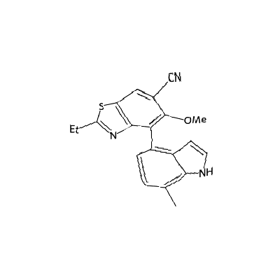 CCc1nc2c(-c3ccc(C)c4[nH]ccc34)c(OC)c(C#N)cc2s1